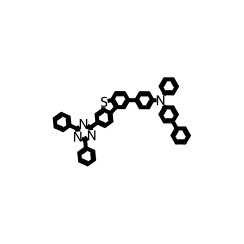 c1ccc(-c2ccc(N(c3ccccc3)c3ccc(-c4ccc5sc6cc(-c7nc(-c8ccccc8)nc(-c8ccccc8)n7)ccc6c5c4)cc3)cc2)cc1